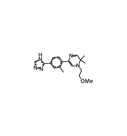 COCCN1C=C(c2ccc(-c3nnc[nH]3)cc2C)N=CC1(C)C